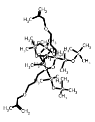 C=C(C)COCCC[Si](O[Si](CCCOCC(=C)C)([Si](C)(C)O[Si](C)(C)C)[Si](C)(C)O[Si](C)(C)C)([Si](C)(C)O[Si](C)(C)C)[Si](C)(C)O[Si](C)(C)C